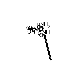 CCCCCCCCCCCCCC(=O)NC(CC(N)=O)C(=O)NCCC(C)(C)C(=O)O